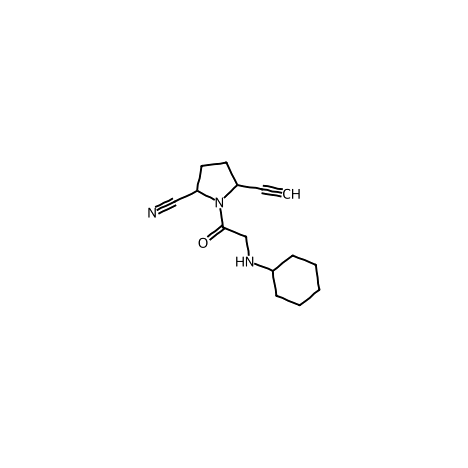 C#CC1CCC(C#N)N1C(=O)CNC1CCCCC1